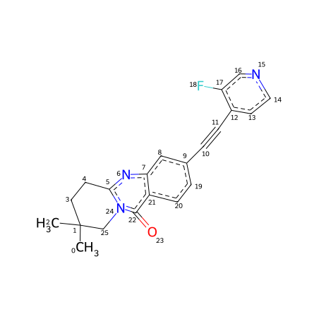 CC1(C)CCc2nc3cc(C#Cc4ccncc4F)ccc3c(=O)n2C1